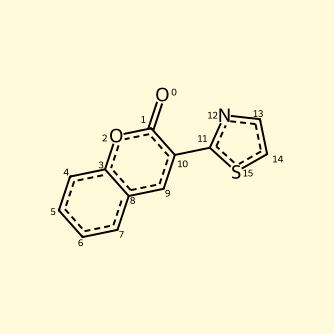 O=c1oc2ccccc2cc1-c1nccs1